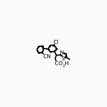 Cc1cnc(C(CC(=O)O)c2cc(Cl)cc(-c3ccccc3C#N)c2)s1